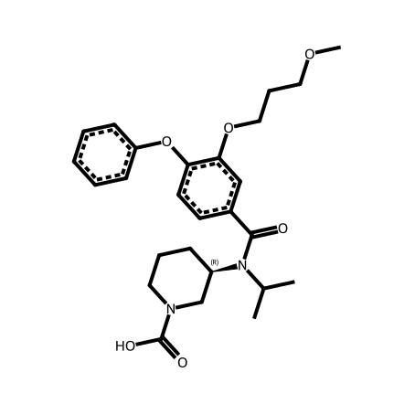 COCCCOc1cc(C(=O)N(C(C)C)[C@@H]2CCCN(C(=O)O)C2)ccc1Oc1ccccc1